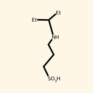 CCC(CC)NCCCS(=O)(=O)O